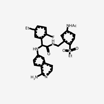 CCc1ccc(F)c(C(Nc2ccc3c(N)nccc3c2)C(=O)NCc2cc(NC(C)=O)ccc2S(=O)(=O)CC)c1